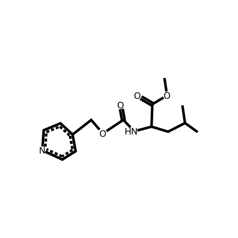 COC(=O)C(CC(C)C)NC(=O)OCc1ccncc1